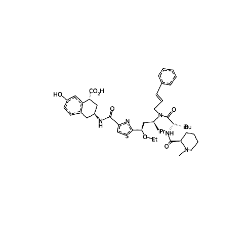 CCO[C@H](C[C@H](C(C)C)N(C/C=C/c1ccccc1)C(=O)[C@@H](NC(=O)[C@H]1CCCCN1C)[C@@H](C)CC)c1nc(C(=O)N[C@H]2Cc3ccc(O)cc3[C@H](C(=O)O)C2)cs1